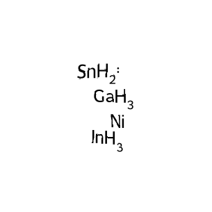 [GaH3].[InH3].[Ni].[SnH2]